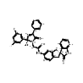 C[C@@]1(c2cc(F)cc(F)c2)N=C(c2ccccc2)C(=O)N1CC(=O)Nc1ccc2c(c1)C[C@@]1(C2)C(=O)Nc2ncccc21